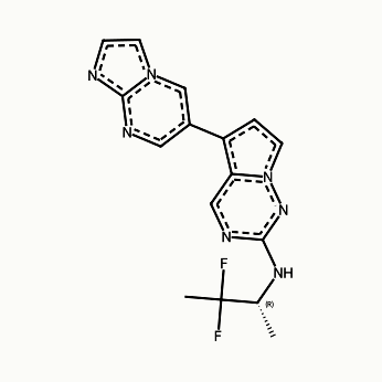 C[C@@H](Nc1ncc2c(-c3cnc4nccn4c3)ccn2n1)C(C)(F)F